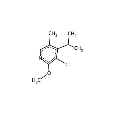 COc1ncc(C)c(C(C)C)c1Cl